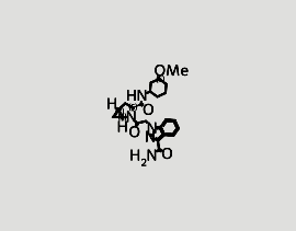 CO[C@H]1CCCC(NC(=O)[C@@H]2C[C@H]3C[C@H]3N2C(=O)Cn2nc(C(N)=O)c3ccccc32)C1